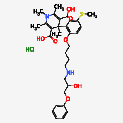 CSc1ccc(OCCCCNCC(O)COc2ccccc2)c(C2(C)C(C(=O)O)=C(C)N(C)C(C)=C2C(=O)O)c1.Cl